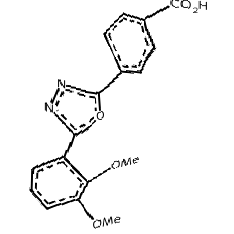 COc1cccc(-c2nnc(-c3ccc(C(=O)O)cc3)o2)c1OC